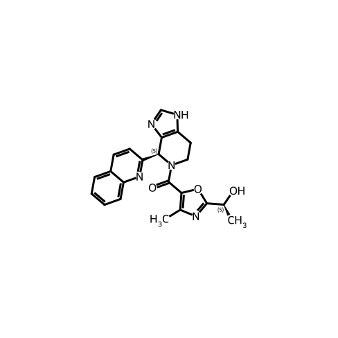 Cc1nc([C@H](C)O)oc1C(=O)N1CCc2[nH]cnc2[C@@H]1c1ccc2ccccc2n1